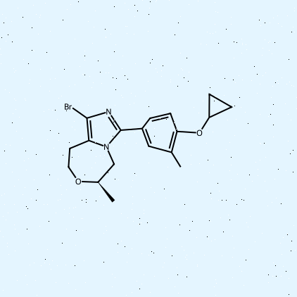 Cc1cc(-c2nc(Br)c3n2C[C@@H](C)OCC3)ccc1OC1CC1